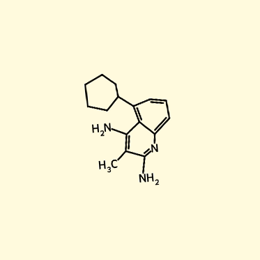 Cc1c(N)nc2cccc(C3CCCCC3)c2c1N